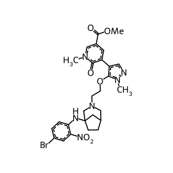 COC(=O)c1cc(-c2cnn(C)c2OCCN2CC3CCC(Nc4ccc(Br)cc4[N+](=O)[O-])(C3)C2)c(=O)n(C)c1